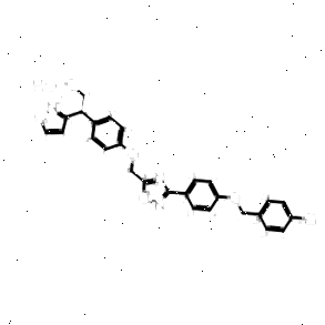 O=C(O)C[C@@H](c1ccc(OCc2nc(-c3ccc(OCc4ccc(Cl)cc4)cc3)no2)cc1)c1ccon1